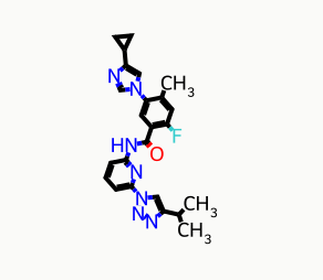 Cc1cc(F)c(C(=O)Nc2cccc(-n3cc(C(C)C)nn3)n2)cc1-n1cnc(C2CC2)c1